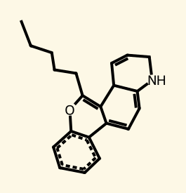 CCCCCC1=C2C(=CC=C3NCC=CC32)c2ccccc2O1